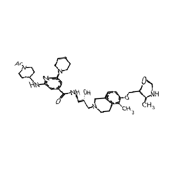 CC(=O)N1CCC(Nc2cc(C(=O)NC[C@H](O)CN3CCc4c(ccc(OCC5OCNC5C)c4C)C3)cc(N3CCCCC3)n2)CC1